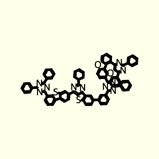 C1=CCC(c2nc(-c3ccc4c(c3)sc3c(-c5nc(-c6ccccc6)nc(-c6ccccc6)n5)cccc34)c3sc4ccc(-c5cccc(-c6nc(-c7ccccc7)nc(-c7ccc8oc9cccc(-c%10nc(-c%11ccccc%11)nc%11c%10oc%10ccccc%10%11)c9c8c7)n6)c5)cc4c3n2)C=C1